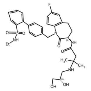 CCNS(=O)(=O)c1ccccc1-c1ccc(CN2C(=O)[C@H](NC(=O)CC(C)(C)NC[C@H](O)CO)CCc3cc(F)ccc32)cc1